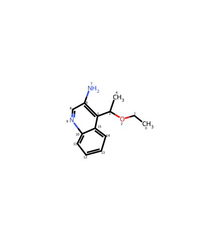 CCOC(C)c1c(N)cnc2ccccc12